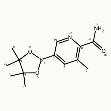 Cc1cc(B2OC(C)(C)C(C)(C)O2)cnc1C(N)=O